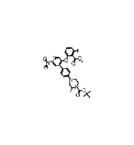 COC(=O)c1c(F)cccc1Oc1cnc([N+](=O)[O-])cc1-c1ccc(N2CCN(C(=O)OC(C)(C)C)[C@@H](C)C2)cc1